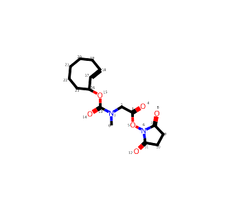 CN(CC(=O)ON1C(=O)CCC1=O)C(=O)OC1/C=C/CCCCC1